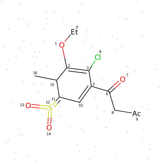 CCOC1=C(Cl)C(C(=O)CC(C)=O)=CC(=S(=O)=O)C1C